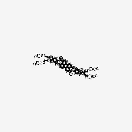 CCCCCCCCCCCCN(CCCCCCCCCCCC)S(=O)(=O)c1ccc2c(c1)nc1c3ccc4c5ccc6c(=O)n7c8ccc(S(=O)(=O)N(CCCCCCCCCCCC)CCCCCCCCCCCC)cc8nc7c7ccc(c8ccc(c(=O)n21)c3c84)c5c67